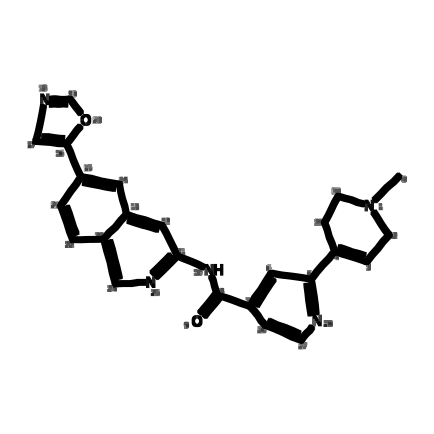 CN1CC=C(c2cc(C(=O)Nc3cc4cc(-c5cnco5)ccc4cn3)ccn2)CC1